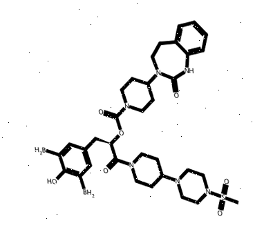 Bc1cc(C[C@@H](OC(=O)N2CCC(N3CCc4ccccc4NC3=O)CC2)C(=O)N2CCC(N3CCN(S(C)(=O)=O)CC3)CC2)cc(B)c1O